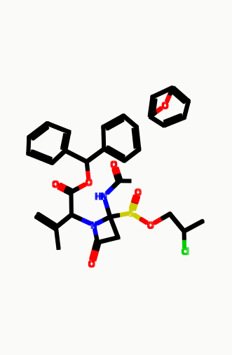 C=C(C)C(C(=O)OC(c1ccccc1)c1ccccc1)N1C(=O)CC1(NC(C)=O)S(=O)OCC(C)Cl.c1cc2cc(c1)O2